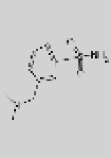 CN(C)Cc1cccc(S(N)(=O)=O)c1